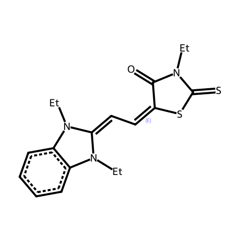 CCN1C(=O)/C(=C\C=C2N(CC)c3ccccc3N2CC)SC1=S